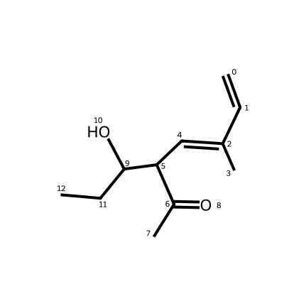 C=CC(C)=CC(C(C)=O)C(O)CC